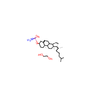 CC(C)CCC[C@@H](C)[C@H]1CCC2C3CC=C4CC(OP(N)O)CC[C@]4(C)C3CC[C@@]21C.OCCO